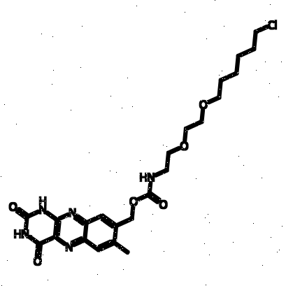 Cc1cc2nc3c(=O)[nH]c(=O)[nH]c3nc2cc1COC(=O)NCCOCCOCCCCCCCl